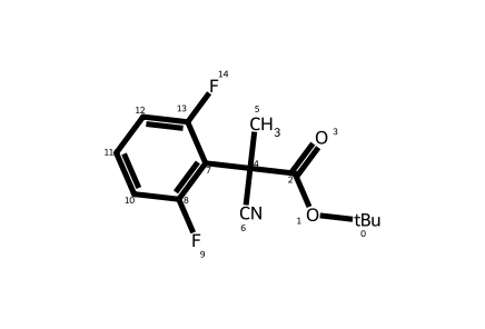 CC(C)(C)OC(=O)C(C)(C#N)c1c(F)cccc1F